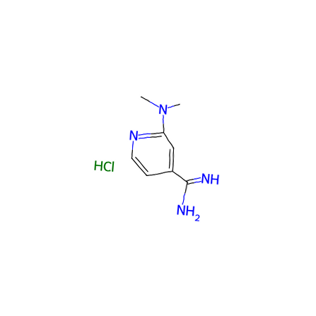 CN(C)c1cc(C(=N)N)ccn1.Cl